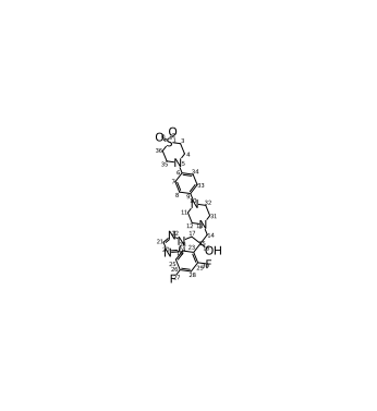 O=S1(=O)CCN(c2ccc(N3CCN(CC(O)(Cn4cncn4)c4ccc(F)cc4F)CC3)cc2)CC1